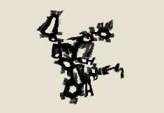 CC(c1cccc(-c2ccccc2C(=O)NCCN)c1)N(C(=O)COc1ccccc1)C1CCN(Cc2ccccc2)CC1